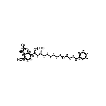 O=COC(CNCCCCCCOCCCCc1ccccc1)c1ccc(O)c2[nH]c(=O)sc12